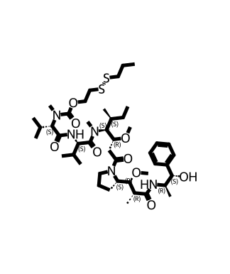 CCCSSCCOC(=O)N(C)[C@H](C(=O)N[C@H](C(=O)N(C)[C@@H]([C@@H](C)CC)[C@@H](CC(=O)N1CCC[C@H]1[C@H](OC)[C@@H](C)C(=O)N[C@H](C)[C@@H](O)c1ccccc1)OC)C(C)C)C(C)C